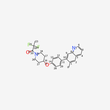 Cc1cc2cccnc2cc1-c1ccc(OC2CCN(C(=O)C(C)(F)F)CC2)cc1